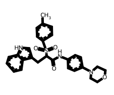 Cc1ccc(S(=O)(=O)C(Cc2c[nH]c3ccccc23)C(=O)Nc2ccc(N3CCOCC3)cc2)cc1